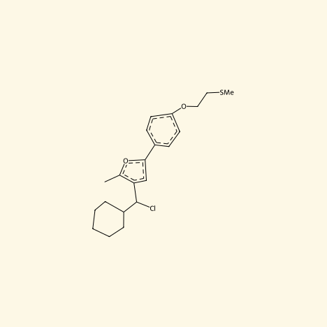 CSCCOc1ccc(-c2cc(C(Cl)C3CCCCC3)c(C)o2)cc1